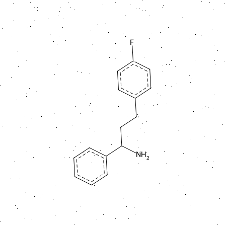 NC(C[CH]c1ccc(F)cc1)c1ccccc1